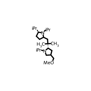 COCC1C[C@@H](C(C)(C)CC2CC[C@@H](C(C)C)N2C(C)C)N(C(C)C)C1